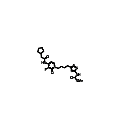 CNC(=O)Nc1nnc(CCCCn2ccc(NC(=O)CC3CCCC3)c(F)c2=O)s1